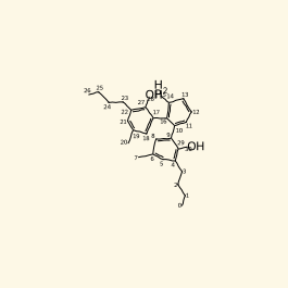 CCCCc1cc(C)cc(-c2cccc(P)c2-c2cc(C)cc(CCCC)c2O)c1O